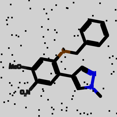 COc1cc(SCc2ccccc2)c(-c2cnn(C)c2)cc1[N+](=O)[O-]